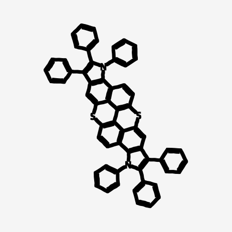 c1ccc(-c2c(-c3ccccc3)n(-c3ccccc3)c3c2cc2sc4ccc5c6c4-c4c(ccc3c42)sc6cc2c(-c3ccccc3)c(-c3ccccc3)n(-c3ccccc3)c25)cc1